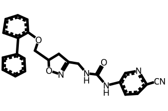 N#Cc1ccc(NC(=O)NCC2=NOC(COc3ccccc3-c3ccccc3)C2)cn1